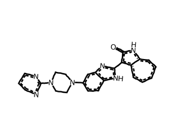 O=c1[nH]c2cccccc-2c1-c1nc2cc(N3CCN(c4ncccn4)CC3)ccc2[nH]1